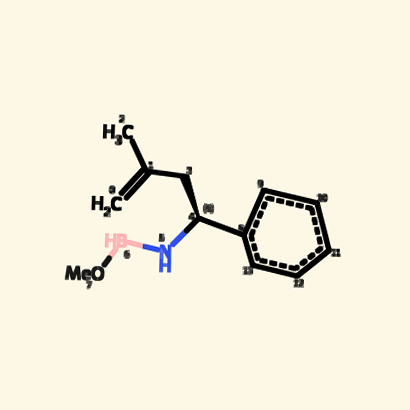 C=C(C)C[C@H](NBOC)c1ccccc1